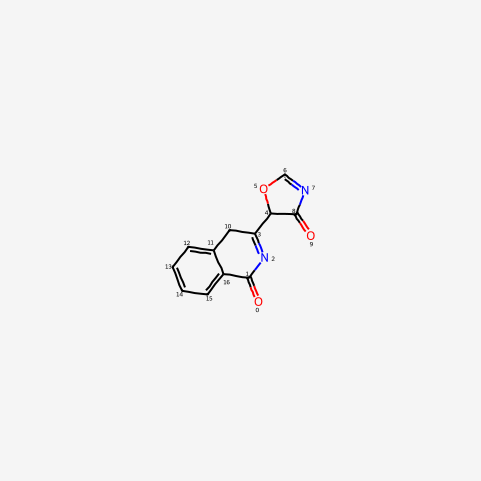 O=C1N=C(C2O[C]=NC2=O)Cc2ccccc21